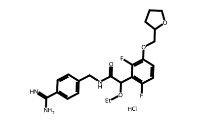 CCOC(C(=O)NCc1ccc(C(=N)N)cc1)c1c(F)ccc(OCC2CCCO2)c1F.Cl